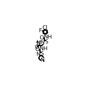 CN1CCc2nc(C(=O)NC(CNC(=S)C(=O)Nc3ccc(Cl)c(F)c3)C(=O)N(C)C)sc2C1